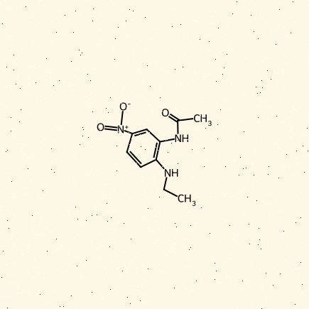 CCNc1ccc([N+](=O)[O-])cc1NC(C)=O